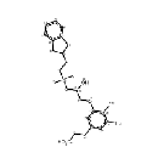 C[N+](C)(CCC1Cc2ccccc2C1)C[C@@H](O)COc1cc(CCC(=O)O)cc(F)c1F